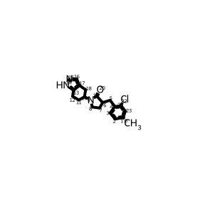 Cc1ccc(CC2CCN(C3CCc4[nH]ncc4C3)C2=O)c(Cl)c1